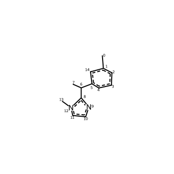 Cc1cccc(C(C)c2nccn2C)c1